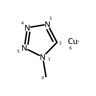 Cn1cnnn1.[Cu]